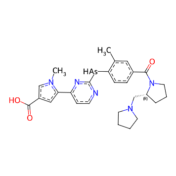 Cc1cc(C(=O)N2CCC[C@@H]2CN2CCCC2)ccc1[AsH]c1nccc(-c2cc(C(=O)O)cn2C)n1